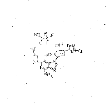 CCn1nnc([C@H]2O[C@@H](n3cnc4c(N)nc(N5CC[C@@H](N(C)C)C5)nc43)[C@H](O)[C@@H]2O)n1.O=C(O)C(F)(F)F